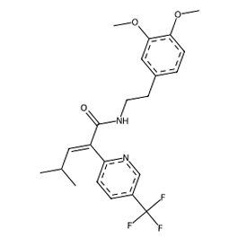 COc1ccc(CCNC(=O)C(=CC(C)C)c2ccc(C(F)(F)F)cn2)cc1OC